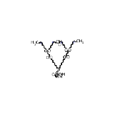 CC/C=C\CCCCOC(CCC(=O)OCCCCCCCN(CCCCCCCOC(=O)CCC(OCCCC/C=C\CC)OCCCC/C=C\CC)CCN1C(=O)CNC1O)OCCCC/C=C\CC